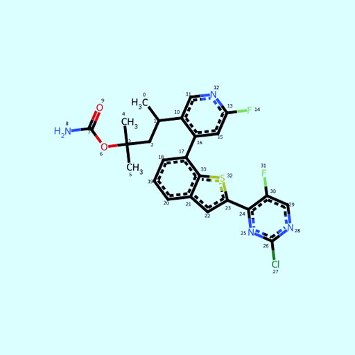 CC(CC(C)(C)OC(N)=O)c1cnc(F)cc1-c1cccc2cc(-c3nc(Cl)ncc3F)sc12